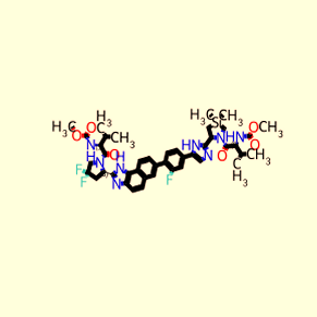 COC(=O)N[C@H](C(=O)N1C[Si](C)(C)CC1c1ncc(-c2ccc(-c3ccc4c(ccc5nc([C@@H]6CC(F)(F)CN6C(=O)[C@@H](NC(=O)OC)C(C)C)[nH]c54)c3)c(F)c2)[nH]1)C(C)C